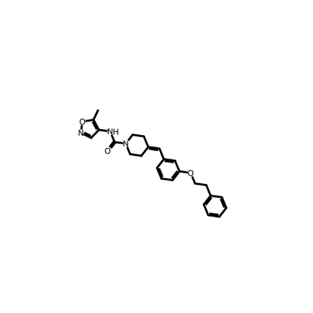 Cc1oncc1NC(=O)N1CCC(=Cc2cccc(OCCc3ccccc3)c2)CC1